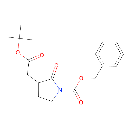 CC(C)(C)OC(=O)CC1CCN(C(=O)OCc2ccccc2)C1=O